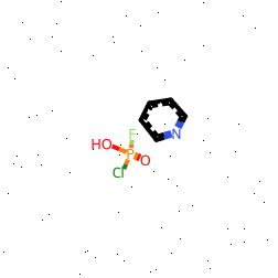 O=P(O)(F)Cl.c1ccncc1